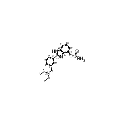 CCN(CC)Cc1cccc(-c2nc3c(OC(N)=O)cccc3[nH]2)c1